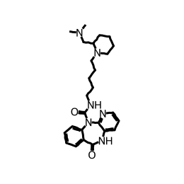 CN(C)CC1CCCCN1CCCCCNC(=O)N1c2ccccc2C(=O)Nc2cccnc21